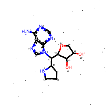 Nc1ncnc2c1ncn2C(C1CCCN1)C1OCC(O)C1O